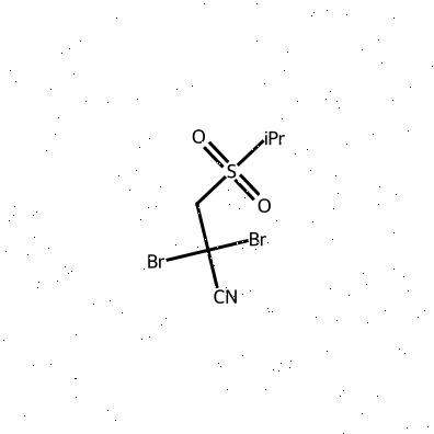 CC(C)S(=O)(=O)CC(Br)(Br)C#N